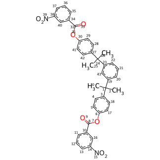 CC(C)(c1ccc(OC(=O)c2cccc([N+](=O)[O-])c2)cc1)c1cccc(C(C)(C)c2ccc(OC(=O)c3cccc([N+](=O)[O-])c3)cc2)c1